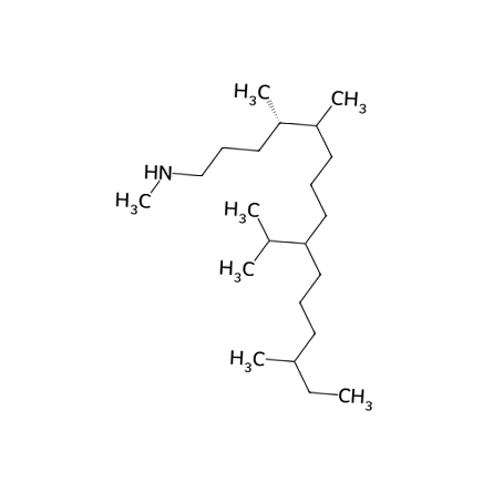 CCC(C)CCCC(CCCC(C)[C@@H](C)CCCNC)C(C)C